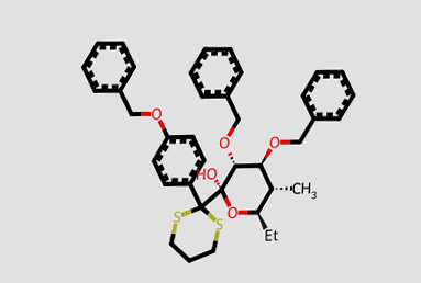 CC[C@H]1O[C@@](O)(C2(c3ccc(OCc4ccccc4)cc3)SCCCS2)[C@H](OCc2ccccc2)[C@@H](OCc2ccccc2)[C@@H]1C